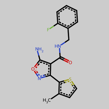 Cc1ccsc1-c1noc(N)c1C(=O)NCc1ccccc1F